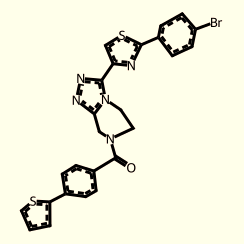 O=C(c1ccc(-c2cccs2)cc1)N1CCn2c(nnc2-c2csc(-c3ccc(Br)cc3)n2)C1